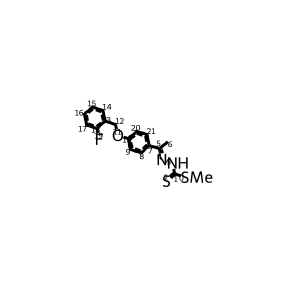 CSC(=S)N/N=C(\C)c1ccc(OCc2ccccc2F)cc1